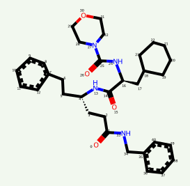 O=C(CC[C@H](CCc1ccccc1)NC(=O)[C@H](CC1CCCCC1)NC(=O)N1CCOCC1)NCc1ccccc1